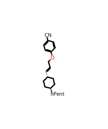 CCCCC[C@H]1CC[C@H](/C=C/COc2ccc(C#N)cc2)CC1